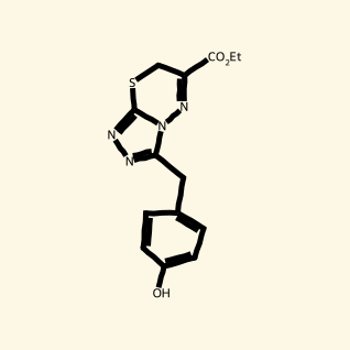 CCOC(=O)C1=Nn2c(Cc3ccc(O)cc3)nnc2SC1